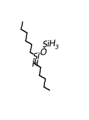 CCCCCC[SiH](CCCCCC)O[SiH3]